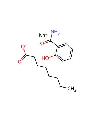 CCCCCCCC(=O)[O-].NC(=O)c1ccccc1O.[Na+]